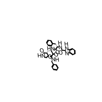 O=C(NCc1ccccc1)C(=O)[C@H](C[C@@H]1CCNC1=O)NC(=O)[C@H](Cc1ccccc1)NC(=O)c1nc2ccccc2[nH]1